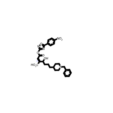 O=C(/C=C(/C(=O)O)C(O)CCCC1CCN(Cc2ccccc2)CC1)Oc1noc(-c2ccc([N+](=O)[O-])cc2)n1